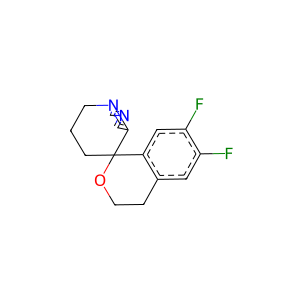 Fc1cc2c(cc1F)C1(CCCn3cncc31)OCC2